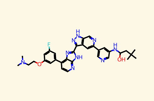 CN(C)CCOc1cc(F)cc(-c2ccnc3[nH]c(-c4n[nH]c5cnc(-c6cncc(NC(O)CC(C)(C)C)c6)cc45)nc23)c1